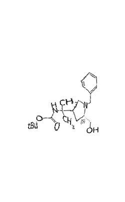 CC(C)(C)OC(=O)NC(C)(C)C1C[C@@H](CO)N(Cc2ccccc2)C1